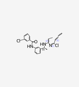 C=C/C=C/C(Cl)=N\C(=C/C)N[C@@H](C)c1cccc(NC(=O)c2cccc(Cl)c2)c1